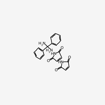 NC(N)(c1ccccc1)c1ccccc1.O=C1C=CC(=O)N1.O=C1C=CC(=O)N1